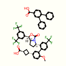 COc1ccc([C@H]2C[C@H](C(=O)O)C2)cc1-c1ccc(C(F)(F)F)cc1[C@@H]1CC[C@H]2[C@@H](c3cc(C(F)(F)F)cc(C(F)(F)F)c3)OC(=O)N12.O=C(O)c1ccc(-c2ccccc2)c(-c2ccccc2)c1